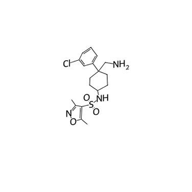 Cc1noc(C)c1S(=O)(=O)NC1CCC(CN)(c2cccc(Cl)c2)CC1